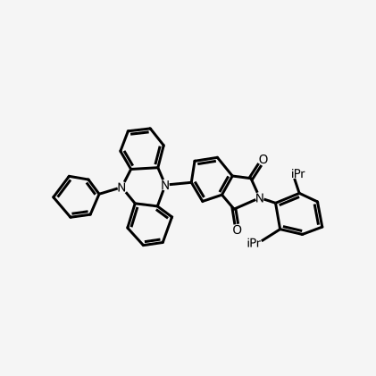 CC(C)c1cccc(C(C)C)c1N1C(=O)c2ccc(N3c4ccccc4N(c4ccccc4)c4ccccc43)cc2C1=O